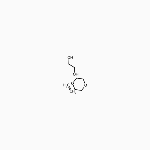 C1COCCO1.C=C.OCCO